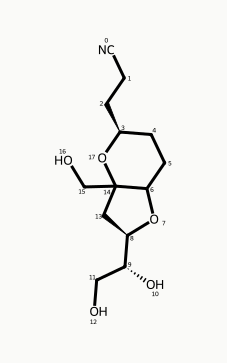 N#CCC[C@H]1CCC2O[C@@H]([C@H](O)CO)CC2(CO)O1